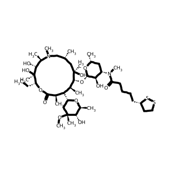 CC[C@H]1OC(=O)[C@H](C)C([C@H]2C[C@@](C)(OC)[C@@H](O)[C@H](C)O2)[C@H](C)[C@@H](O[C@@H]2O[C@H](C)C[C@H](N(C)C(=O)CCCC[C@H]3CCSS3)[C@H]2O)[C@](C)(O)C[C@@H](C)CN(C)[C@H](C)[C@@H](O)[C@]1(C)O